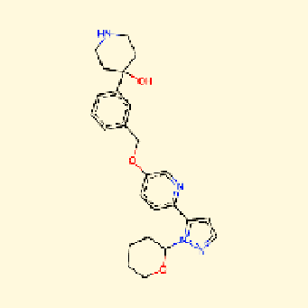 OC1(c2cccc(COc3ccc(-c4ccnn4C4CCCCO4)nc3)c2)CCNCC1